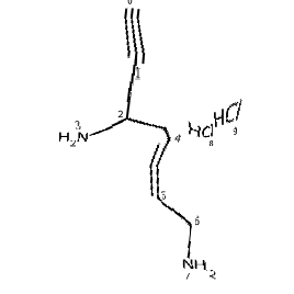 C#CC(N)/C=C/CN.Cl.Cl